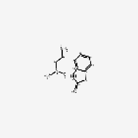 CN(C)CCN.O=C1Cc2ccccc2N1